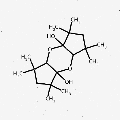 CC1(C)CC(C)(C)C2(O)OC3C(C)(C)CC(C)(C)C3(O)OC12